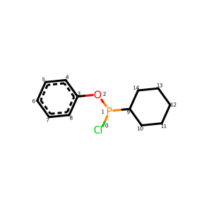 ClP(Oc1ccccc1)C1CCCCC1